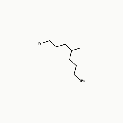 [CH2]C(C)CCCC(C)CCCC(C)CC